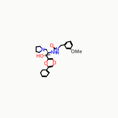 COc1cccc(CNC(=O)N[C@H](CN2CCCC2)[C@@H](O)C2=COC=C(C3=CC=CCC3)O2)c1